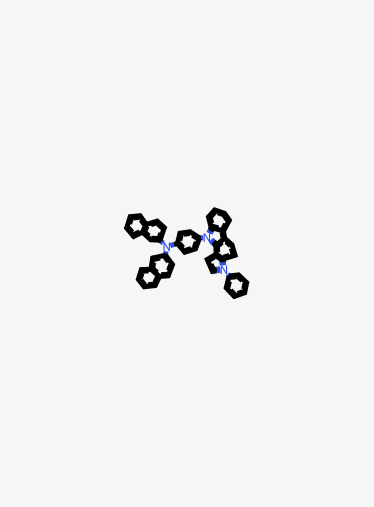 c1ccc(-n2ccc3c2ccc2c4ccccc4n(-c4ccc(N(c5ccc6ccccc6c5)c5ccc6ccccc6c5)cc4)c23)cc1